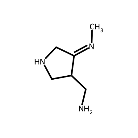 C/N=C1\CNCC1CN